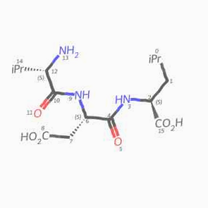 CC(C)C[C@H](NC(=O)[C@H](CC(=O)O)NC(=O)[C@@H](N)C(C)C)C(=O)O